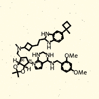 COc1ccc(CNC2NCNc3c2ccn3[C@@H]2C[C@H](CN(C)C3CC(CCC4Nc5ccc(C6(C)CCC6)cc5N4)C3)[C@H]3OC(C)(C)O[C@H]32)c(OC)c1